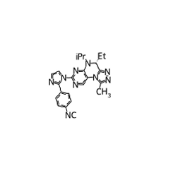 [C-]#[N+]c1ccc(-c2nccn2-c2ncc3c(n2)N(C(C)C)[C@H](CC)c2nnc(C)n2-3)cc1